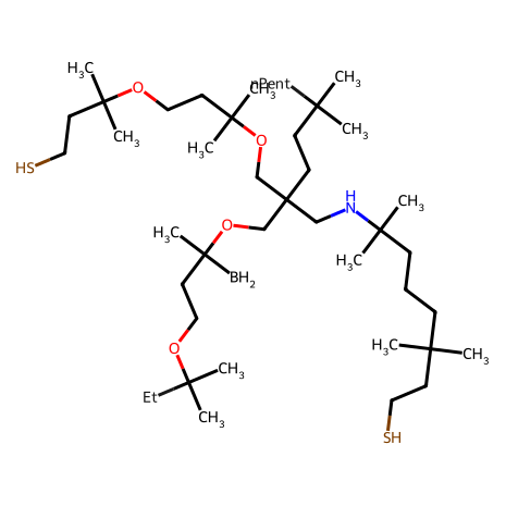 BC(C)(CCOC(C)(C)CC)OCC(CCC(C)(C)CCCCC)(CNC(C)(C)CCCC(C)(C)CCS)COC(C)(C)CCOC(C)(C)CCS